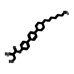 C=C(CO)C(=O)Oc1ccc(-c2ccc(C3CCC(CCCCCCC)CC3)cc2)cc1